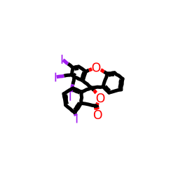 O=C1OC2(c3ccccc3Oc3cc(I)c(I)c(I)c32)c2cccc(I)c21